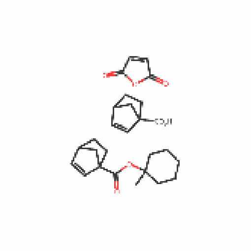 CC1(OC(=O)C23C=CC(CC2)C3)CCCCC1.O=C(O)C12C=CC(CC1)C2.O=C1C=CC(=O)O1